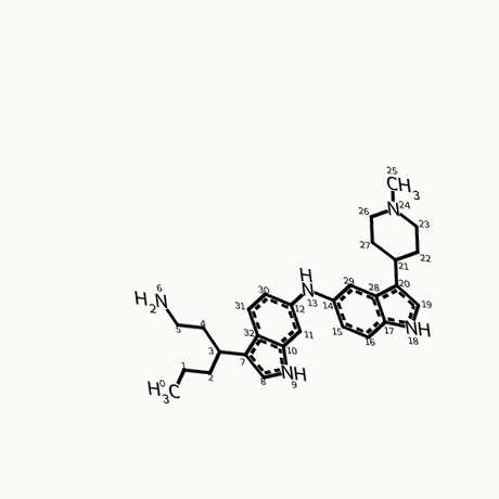 CCCC(CCN)c1c[nH]c2cc(Nc3ccc4[nH]cc(C5CCN(C)CC5)c4c3)ccc12